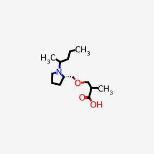 CCCC(C)N1CCC[C@H]1COCC(C)C(=O)O